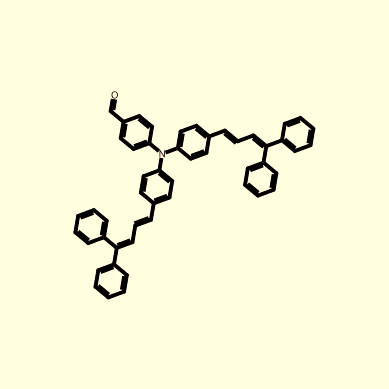 O=Cc1ccc(N(c2ccc(C=CC=C(c3ccccc3)c3ccccc3)cc2)c2ccc(C=CC=C(c3ccccc3)c3ccccc3)cc2)cc1